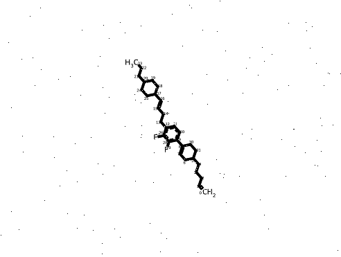 C=CCCCC1CC=C(c2ccc(CC/C=C/C3CCC(CCC)CC3)c(F)c2F)CC1